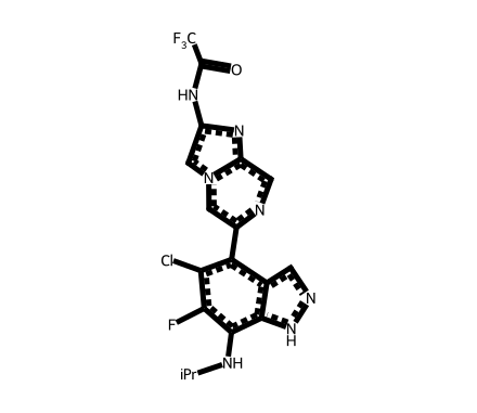 CC(C)Nc1c(F)c(Cl)c(-c2cn3cc(NC(=O)C(F)(F)F)nc3cn2)c2cn[nH]c12